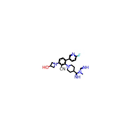 CN(C=N)C(=N)C1CCN(c2c(-c3ccc(F)nc3)ccc(N3CC(O)C3)c2C#N)CC1